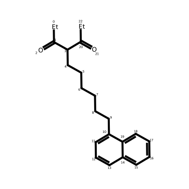 CCC(=O)C(CCCCCCc1cccc2ccccc12)C(=O)CC